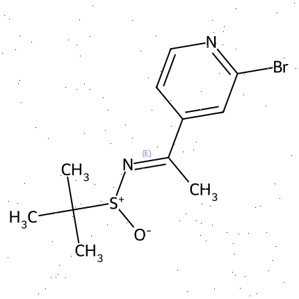 C/C(=N\[S+]([O-])C(C)(C)C)c1ccnc(Br)c1